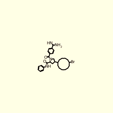 N=C(N)c1ccc(C(=O)N2CC(C3CCCCCCC(Br)CCCC3)CC2C(=O)Nc2ccccc2)cc1